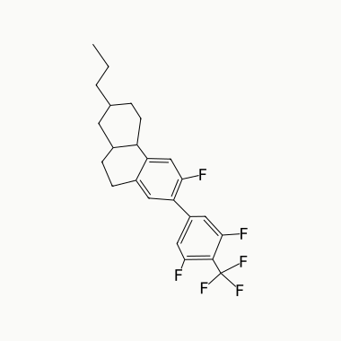 CCCC1CCC2c3cc(F)c(-c4cc(F)c(C(F)(F)F)c(F)c4)cc3CCC2C1